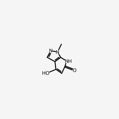 Cn1ncc2c(O)cc(=O)[nH]c21